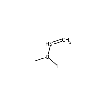 C=[SH]B(I)I